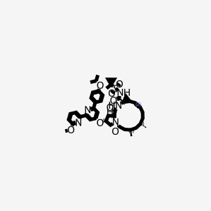 COc1cccc(-c2cc(O[C@@H]3C[C@H]4C(=O)N[C@]5(C(=O)NS(=O)(=O)C6(C)CC6)CC5/C=C\CC[C@H](C)C[C@@H](C)CC(=O)N4C3)cc(-c3ccc(OC(C)C)cc3)n2)n1